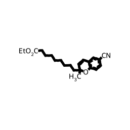 CCOC(=O)CCCCCCCCC1(C)C=Cc2cc(C#N)ccc2O1